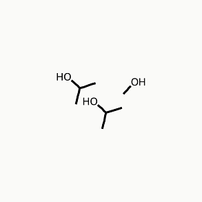 CC(C)O.CC(C)O.CO